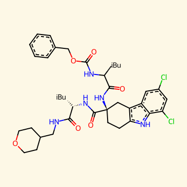 CCC(C)C(NC(=O)OCc1ccccc1)C(=O)N[C@]1(C(=O)N[C@H](C(=O)NCC2CCOCC2)[C@@H](C)CC)CCc2[nH]c3c(Cl)cc(Cl)cc3c2C1